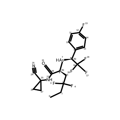 CCC(F)(F)C[C@H]([AsH][C@@H](c1ccc(F)cc1)C(F)(F)F)C(=O)NC1(C#N)CC1